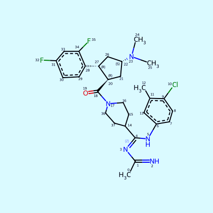 CC(=N)/N=C(\Nc1ccc(Cl)c(C)c1)C1CCN(C(=O)[C@@H]2C[C@@H](N(C)C)C[C@H]2c2ccc(F)cc2F)CC1